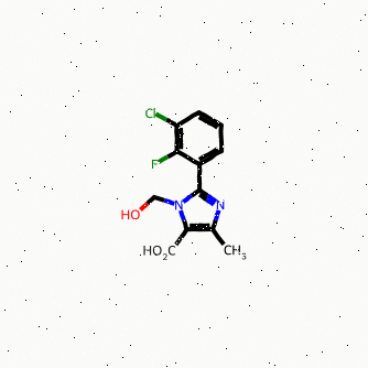 Cc1nc(-c2cccc(Cl)c2F)n(CO)c1C(=O)O